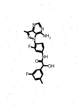 Cc1cc(F)cc(C(O)C(=O)Nc2ccc(-n3nc(C)c4ncnc(N)c43)c(F)c2)c1